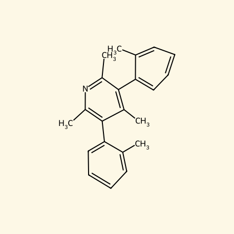 Cc1ccccc1-c1c(C)nc(C)c(-c2ccccc2C)c1C